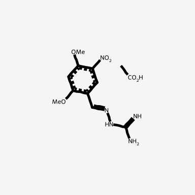 CC(=O)O.COc1cc(OC)c([N+](=O)[O-])cc1/C=N/NC(=N)N